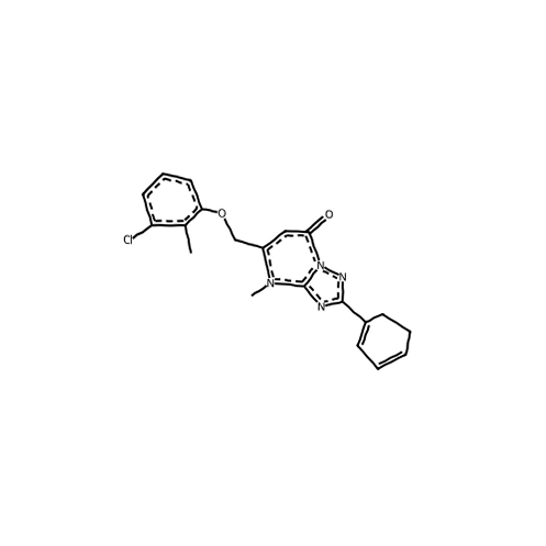 Cc1c(Cl)cccc1OCc1cc(=O)n2nc(C3=CC=CCC3)nc2n1C